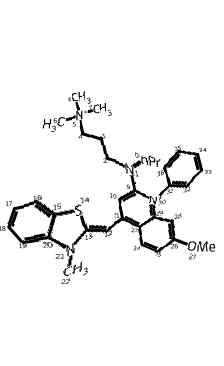 CCCN(CCC[N+](C)(C)C)c1cc(C=C2Sc3ccccc3N2C)c2ccc(OC)cc2[n+]1-c1ccccc1